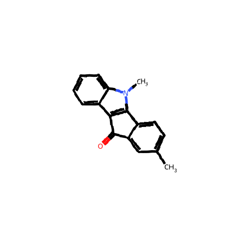 Cc1ccc2c(c1)C(=O)c1c-2n(C)c2ccccc12